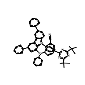 CC(C)(C)c1nc(-c2ccc(-n3c4ccc(-c5ccccc5)cc4c4cc(-c5ccccc5)cc(N(c5ccccc5)C5C=CC=CC5)c43)c(C#N)c2)nc(C(C)(C)C)n1